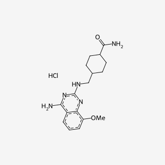 COc1cccc2c(N)nc(NCC3CCC(C(N)=O)CC3)nc12.Cl